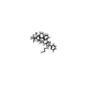 CCCCn1c(-c2ccccc2)nc(-c2ccccc2)c1CN(Cc1ccc(F)c(C(F)(F)F)c1)CC1CCCCC1